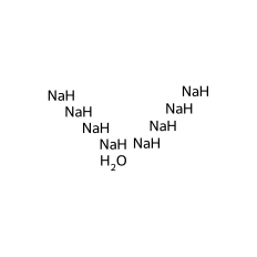 O.[NaH].[NaH].[NaH].[NaH].[NaH].[NaH].[NaH].[NaH]